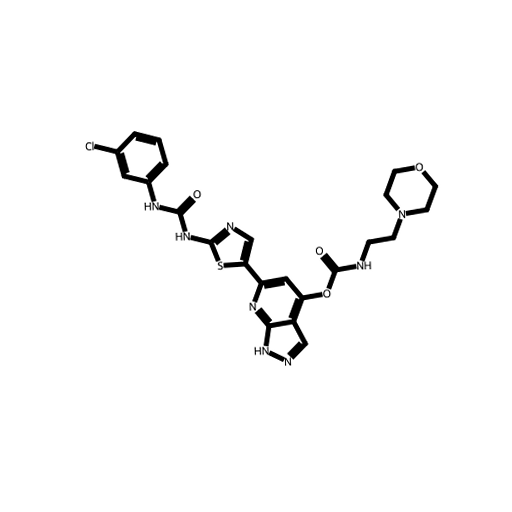 O=C(Nc1cccc(Cl)c1)Nc1ncc(-c2cc(OC(=O)NCCN3CCOCC3)c3cn[nH]c3n2)s1